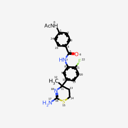 CC(=O)Nc1ccc(C(=O)Nc2cc(C3(C)CCSC(N)=N3)ccc2F)cc1